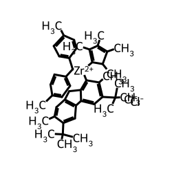 CC1=C(C)C(C)[C]([Zr+2](=[C](c2ccc(C)cc2)c2ccc(C)cc2)[c]2c(C)c(C(C)(C)C)cc3c2Cc2cc(C)c(C(C)(C)C)cc2-3)=C1C.[Cl-].[Cl-]